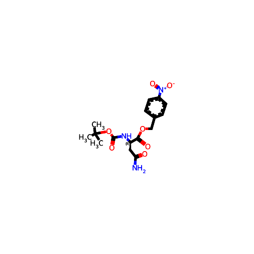 CC(C)(C)OC(=O)N[C@H](CC(N)=O)C(=O)OCc1ccc([N+](=O)[O-])cc1